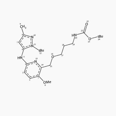 COc1ccc(Nc2cc(C)nn2C(C)(C)C)nc1COCCCNC(=O)OC(C)(C)C